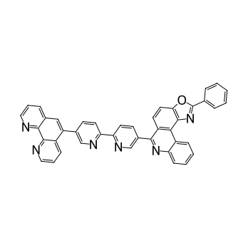 c1ccc(-c2nc3c(ccc4c(-c5ccc(-c6ccc(-c7cc8cccnc8c8ncccc78)cn6)nc5)nc5ccccc5c43)o2)cc1